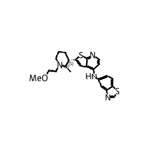 COCCN1CCC[C@H](c2cc3c(Nc4ccc5scnc5c4)ccnc3s2)[C@H]1C